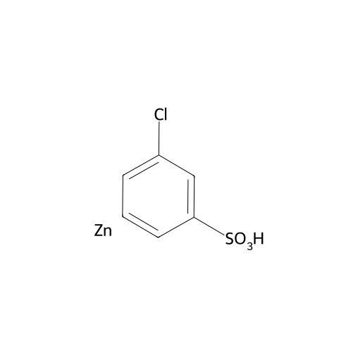 O=S(=O)(O)c1cccc(Cl)c1.[Zn]